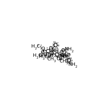 C=CCOC(=O)c1ccc(N(NC(=O)c2ccccc2)C(=O)c2ccc(NC(=O)C(CC(N)=O)NC(=O)c3ccc(N)cc3)c(OC(C)C)c2)c(OC(C)C)c1OCC=C